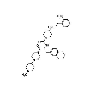 CN1CCC(N2CCN(C(=O)[C@@H](Cc3ccc4c(c3)CCCC4)NC(=O)N3CCC(NCCc4ccccc4N)CC3)CC2)CC1